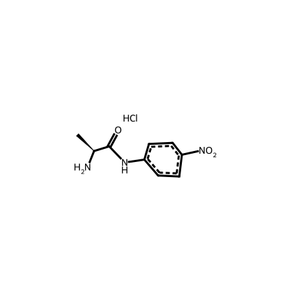 C[C@H](N)C(=O)Nc1ccc([N+](=O)[O-])cc1.Cl